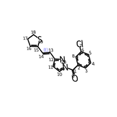 O=C(c1cccc(Cl)c1)n1ccc(/C=C/C2=CCCS2)n1